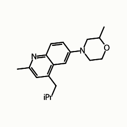 Cc1cc(CC(C)C)c2cc(N3CCOC(C)C3)ccc2n1